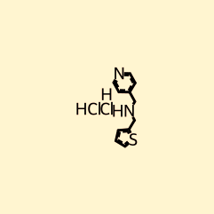 Cl.Cl.c1csc(CNCc2ccncc2)c1